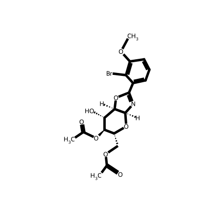 COc1cccc(C2=N[C@H]3O[C@H](COC(C)=O)[C@@H](OC(C)=O)[C@H](O)[C@H]3O2)c1Br